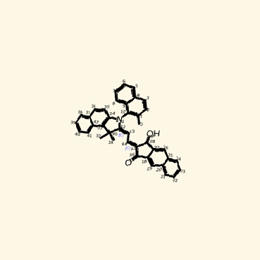 Cc1ccc2ccccc2c1N1/C(=C/C=C2/C(=O)c3cc4ccccc4cc3C2O)C(C)(C)c2c1ccc1ccccc21